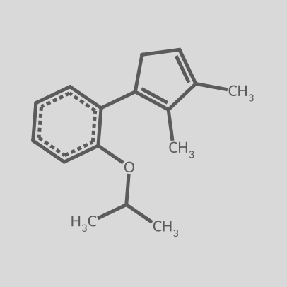 CC1=CCC(c2ccccc2OC(C)C)=C1C